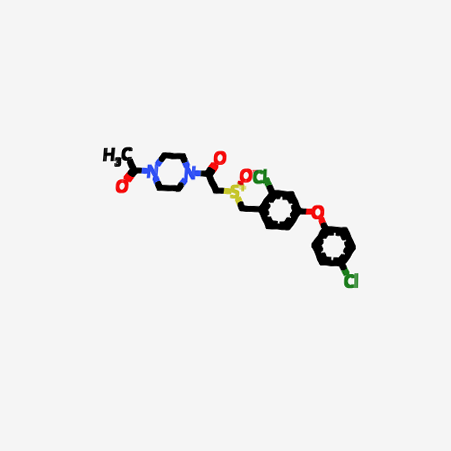 CC(=O)N1CCN(C(=O)C[S+]([O-])Cc2ccc(Oc3ccc(Cl)cc3)cc2Cl)CC1